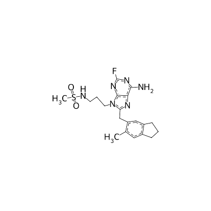 Cc1cc2c(cc1Cc1nc3c(N)nc(F)nc3n1CCCNS(C)(=O)=O)CCC2